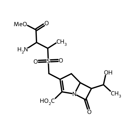 COC(=O)C(N)C(C)S(=O)(=O)CC1=C(C(=O)O)N2C(=O)C(C(C)O)C2C1